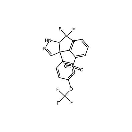 CS(=O)(=O)c1ccccc1C1(c2ccc(OC(F)(F)F)cc2)C=NNC1C(F)(F)F